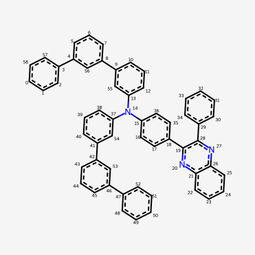 c1ccc(-c2cccc(-c3cccc(N(c4ccc(-c5nc6ccccc6nc5-c5ccccc5)cc4)c4cccc(-c5cccc(-c6ccccc6)c5)c4)c3)c2)cc1